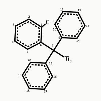 Clc1ccccc1[C]([Ti])(c1ccccc1)c1ccccc1